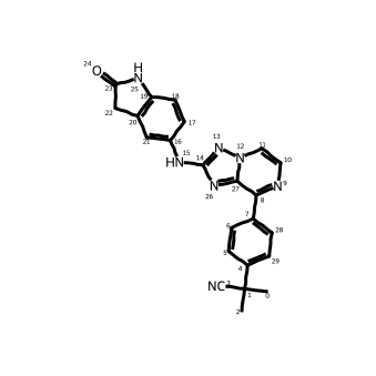 CC(C)(C#N)c1ccc(-c2nccn3nc(Nc4ccc5c(c4)CC(=O)N5)nc23)cc1